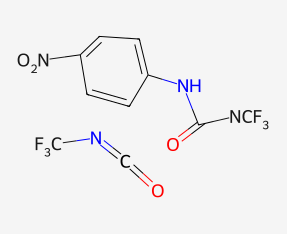 O=C(Nc1ccc([N+](=O)[O-])cc1)NC(F)(F)F.O=C=NC(F)(F)F